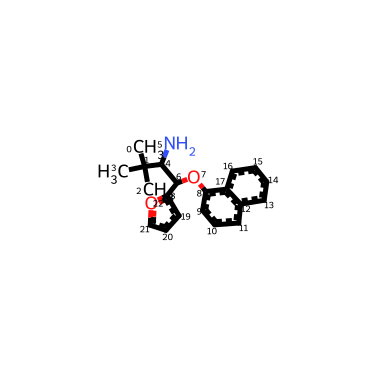 CC(C)(C)C(N)C(Oc1cccc2ccccc12)c1ccco1